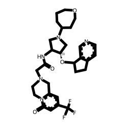 O=C(CN1CCn2c(cc(C(F)(F)F)cc2=O)C1)NC1CN(C2CCCOCC2)C[C@@H]1OC1CCc2ccncc21